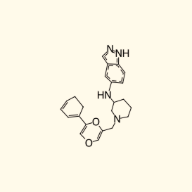 C1=CCCC(C2=COC=C(CN3CCCC(Nc4ccc5[nH]ncc5c4)C3)O2)=C1